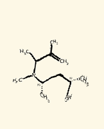 C=C(C)C(C)N(C)[C@@H](C)C[C@H](C)O